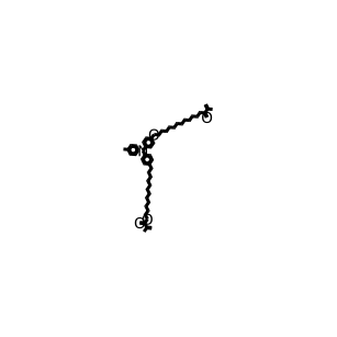 C=C(C)C(=O)CCCCCCCCCCCCOc1ccc(N(c2ccc(C)cc2)c2ccc(CCCCCCCCCCCCOC(=O)C(=C)C)cc2)cc1